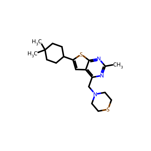 Cc1nc(CN2CCSCC2)c2cc(C3CCC(C)(C)CC3)sc2n1